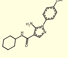 CC(=O)Oc1ccc(-n2ncc(C(=O)NC3CCCCC3)c2N)cc1